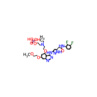 CCN(CCOc1cc(OCCOC)cc2ncnc(Nc3cc(CC(=O)Nc4cccc(F)c4F)[nH]n3)c12)CCOP(=O)(O)O